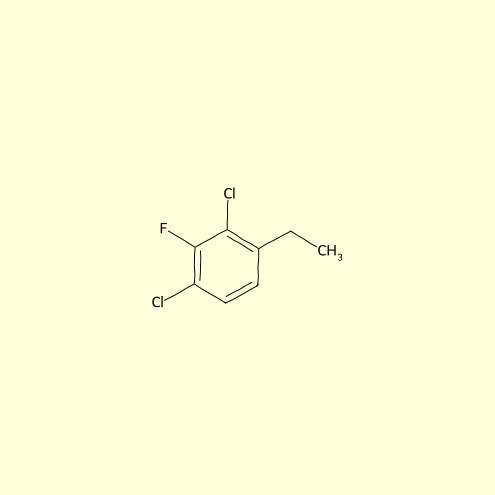 CCc1ccc(Cl)c(F)c1Cl